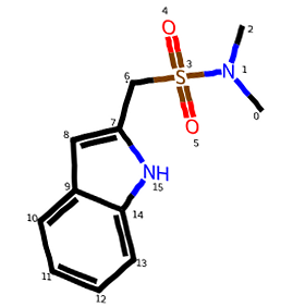 CN(C)S(=O)(=O)[CH]c1cc2ccccc2[nH]1